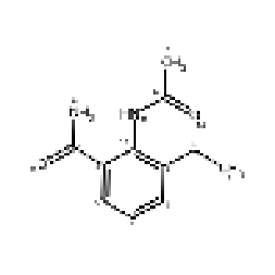 CCc1cccc(C(N)=O)c1NC(C)=O